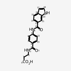 O=C(O)CCNC(=O)c1ccc(NC(=O)c2ccc3cc[nH]c3c2)cc1